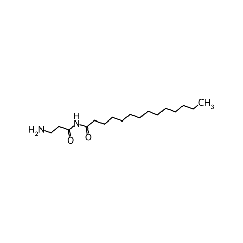 CCCCCCCCCCCCCC(=O)NC(=O)CCN